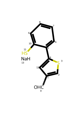 O=Cc1csc(-c2ccccc2S)c1.[NaH]